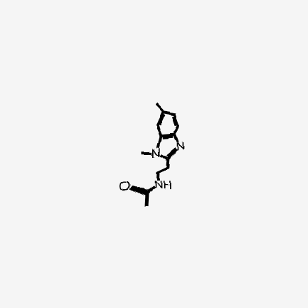 CC(=O)NCCc1nc2ccc(C)cc2n1C